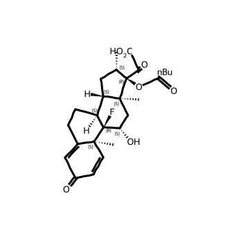 CCCCC(=O)O[C@]1(C(=O)C(=O)O)[C@@H](C)C[C@H]2[C@@H]3CCC4=CC(=O)C=C[C@]4(C)[C@@]3(F)[C@@H](O)C[C@@]21C